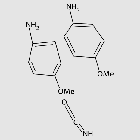 COc1ccc(N)cc1.COc1ccc(N)cc1.N=C=O